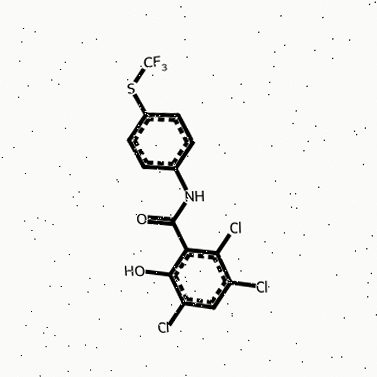 O=C(Nc1ccc(SC(F)(F)F)cc1)c1c(O)c(Cl)cc(Cl)c1Cl